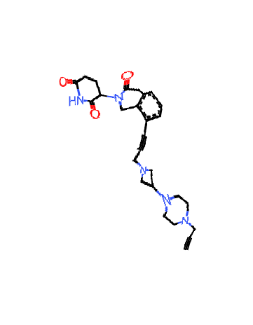 C#CCN1CCN(C2CN(CC#Cc3cccc4c3CN(C3CCC(=O)NC3=O)C4=O)C2)CC1